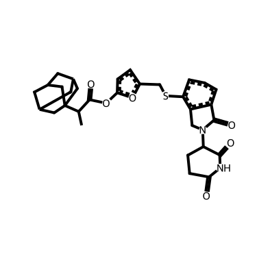 CC(C(=O)Oc1ccc(CSc2cccc3c2CN(C2CCC(=O)NC2=O)C3=O)o1)C12CC3CC(CC(C3)C1)C2